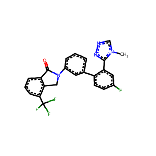 Cn1cnnc1-c1cc(F)ccc1-c1cccc(N2Cc3c(cccc3C(F)(F)F)C2=O)c1